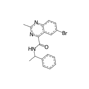 Cc1nc(C(=O)NC(C)c2ccccc2)c2cc(Br)ccc2n1